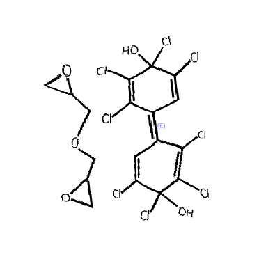 C(OCC1CO1)C1CO1.OC1(Cl)C(Cl)=C/C(=C2/C=C(Cl)C(O)(Cl)C(Cl)=C2Cl)C(Cl)=C1Cl